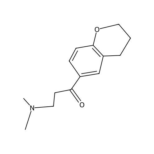 CN(C)CCC(=O)c1ccc2c(c1)CCCO2